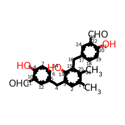 Cc1cc(Cc2ccc(O)c(C=O)c2)c(O)c(Cc2ccc(O)c(C=O)c2)c1C